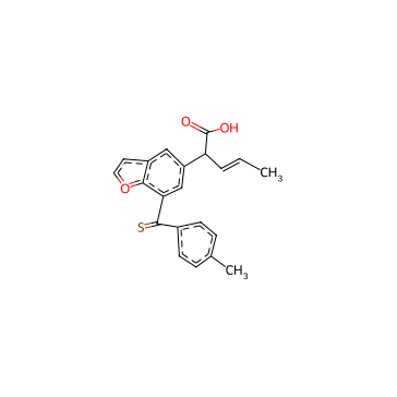 CC=CC(C(=O)O)c1cc(C(=S)c2ccc(C)cc2)c2occc2c1